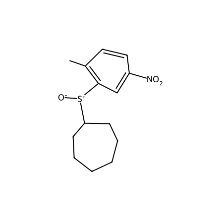 Cc1ccc([N+](=O)[O-])cc1[S+]([O-])C1CCCCCC1